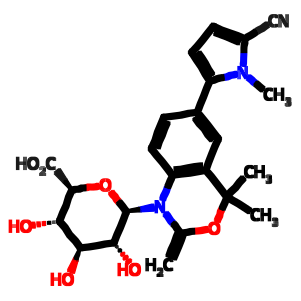 C=C1OC(C)(C)c2cc(-c3ccc(C#N)n3C)ccc2N1[C@@H]1O[C@H](C(=O)O)[C@@H](O)[C@H](O)[C@H]1O